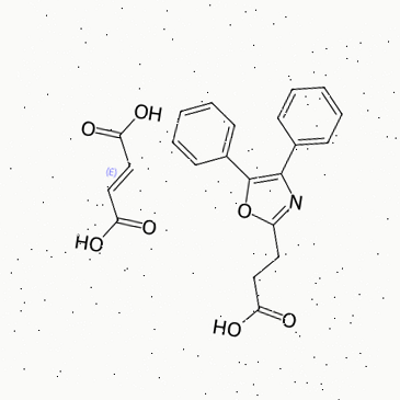 O=C(O)/C=C/C(=O)O.O=C(O)CCc1nc(-c2ccccc2)c(-c2ccccc2)o1